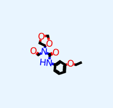 CCOc1cccc(NC(=O)N(C=O)C2COCO2)c1